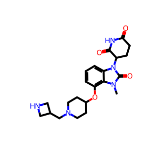 Cn1c(=O)n(C2CCC(=O)NC2=O)c2cccc(OC3CCN(CC4CNC4)CC3)c21